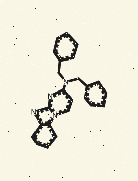 c1ccc(CN(Cc2ccccc2)c2ccn3c(n2)nc2ccccc23)cc1